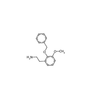 COc1cccc(CCN)c1OCc1ccccc1